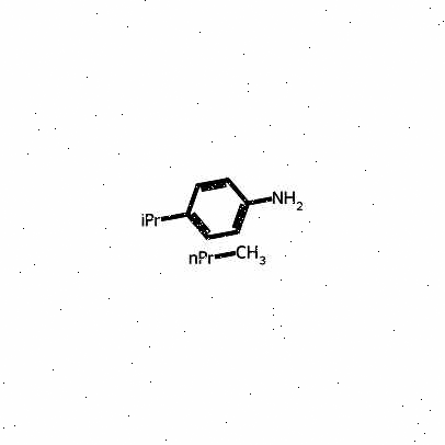 CC(C)c1ccc(N)cc1.CCCC